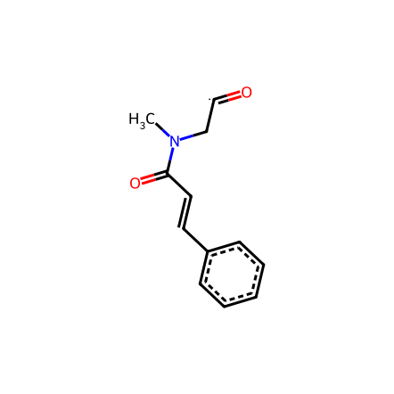 CN(C[C]=O)C(=O)/C=C/c1ccccc1